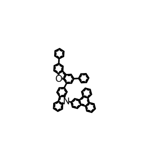 c1ccc(-c2ccc3oc4c(-c5ccc6c7ccccc7n(-c7ccc8c9ccccc9c9ccccc9c8c7)c6c5)cc(-c5ccccc5)cc4c3c2)cc1